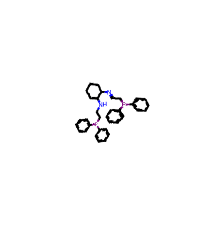 C(/CP(c1ccccc1)c1ccccc1)=N\C1CCCCC1NCCP(c1ccccc1)c1ccccc1